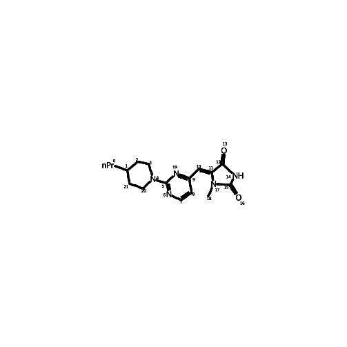 CCCC1CCN(c2nccc(C=C3C(=O)NC(=O)N3C)n2)CC1